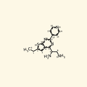 CCc1cc2c(C(N)CN)nc(-c3ccncc3)nc2s1